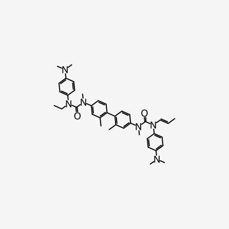 CC=CN(C(=O)N(C)c1ccc(-c2ccc(N(C)C(=O)N(CC)c3ccc(N(C)C)cc3)cc2C)c(C)c1)c1ccc(N(C)C)cc1